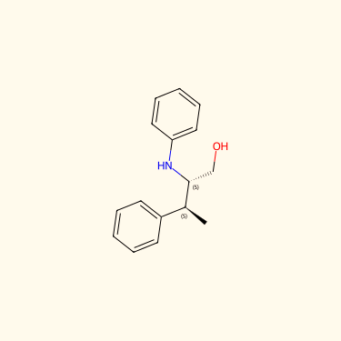 C[C@@H](c1ccccc1)[C@@H](CO)Nc1ccccc1